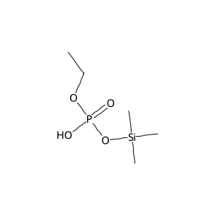 CCOP(=O)(O)O[Si](C)(C)C